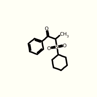 CC(C(=O)c1ccccc1)S(=O)(=O)C1CCCCC1